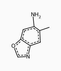 Cc1cc2ncoc2cc1N